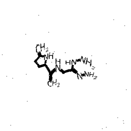 C=C1CCC(C(=C)NC/C(=N/N)NN)N1